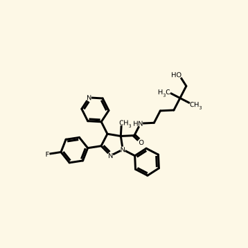 CC(C)(CO)CCCNC(=O)C1(C)C(c2ccncc2)C(c2ccc(F)cc2)=NN1c1ccccc1